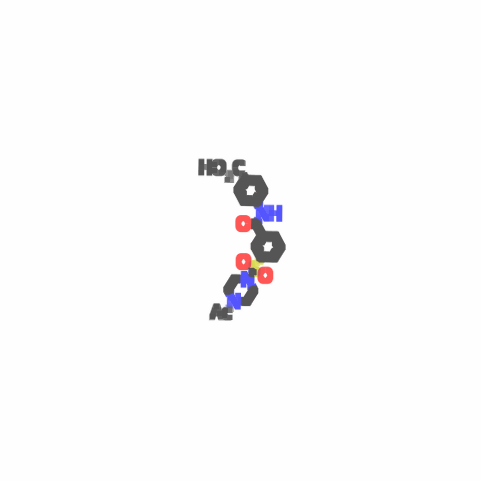 CC(=O)N1CCN(S(=O)(=O)c2cccc(C(=O)Nc3ccc(C(=O)O)cc3)c2)CC1